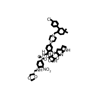 CC1(C)CCC(CN2CCN(c3ccc(C(=O)NS(=O)(=O)c4ccc(NC[C@H]5COCCO5)c([N+](=O)[O-])c4)c(N4c5cc6cc[nH]c6nc5O[C@H]5COC[C@H]54)c3)CC2)=C(c2ccc(Cl)cc2)C1